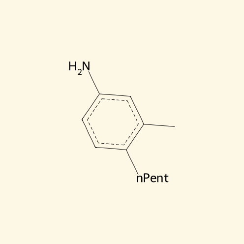 CCCCCc1ccc(N)cc1C